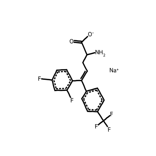 NC(CC=C(c1ccc(C(F)(F)F)cc1)c1ccc(F)cc1F)C(=O)[O-].[Na+]